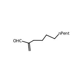 C=C(C=O)CCCCCCCCC